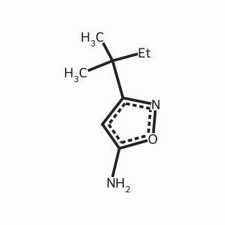 CCC(C)(C)c1cc(N)on1